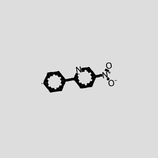 O=[N+]([O-])c1ccc(-c2cc[c]cc2)nc1